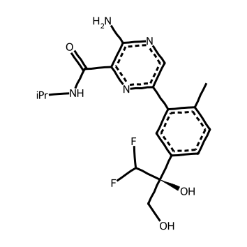 Cc1ccc([C@](O)(CO)C(F)F)cc1-c1cnc(N)c(C(=O)NC(C)C)n1